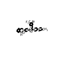 CN1CCN(C2CCN(C(=O)C(Cc3ccc(C(F)(F)F)c(Br)c3)OC(=O)N3CCC(N4CCc5ccccc5NC4=O)CC3)CC2)CC1